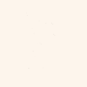 Cc1nc2c3c(c(CO)cc2n1C)CCC(c1ccccc1)N3